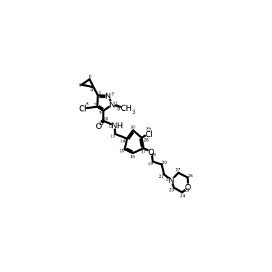 Cn1nc(C2CC2)c(Cl)c1C(=O)NCc1ccc(OCCCN2CCOCC2)c(Cl)c1